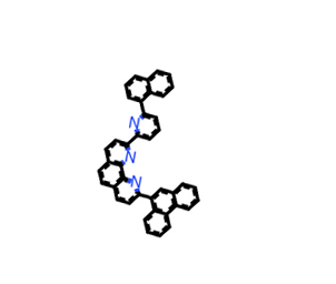 c1cc(-c2ccc3ccc4ccc(-c5cc6ccccc6c6ccccc56)nc4c3n2)nc(-c2cccc3ccccc23)c1